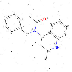 CC(=O)N(Cc1ccccc1)C1CC(C)Nc2ccccc21